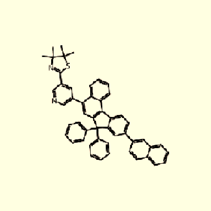 CC1(C)N=C(c2cncc(-c3cc4c(c5ccccc35)-c3ccc(-c5ccc6ccccc6c5)cc3C4(c3ccccc3)c3ccccc3)c2)SC1(C)C